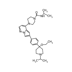 CCOC1(c2ccc(-c3cc4c(N5CCN(C(=O)NC(C)C)CC5)ccnn4c3)cc2)CCN(C(C)C)CC1